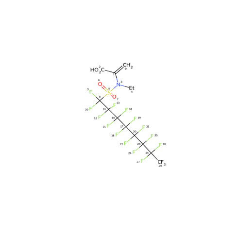 C=C(C(=O)O)N(CC)S(=O)(=O)C(F)(F)C(F)(F)C(F)(F)C(F)(F)C(F)(F)C(F)(F)C(F)(F)C(F)(F)F